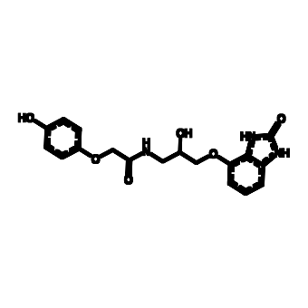 O=C(COc1ccc(O)cc1)NCC(O)COc1cccc2[nH]c(=O)[nH]c12